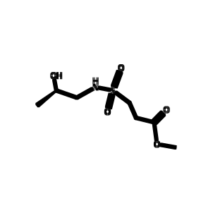 COC(=O)CCS(=O)(=O)NC[C@@H](C)O